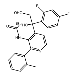 Cc1ccccc1-c1nccc(C(O)(CC=O)c2ccc(F)cc2F)c1NC(=O)C(C)(C)C